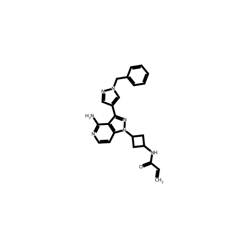 C=CC(=O)NC1CC(n2nc(-c3cnn(Cc4ccccc4)c3)c3c(N)nccc32)C1